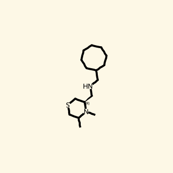 CC1CSC[C@@H](CNCC2CCCCCCC2)N1C